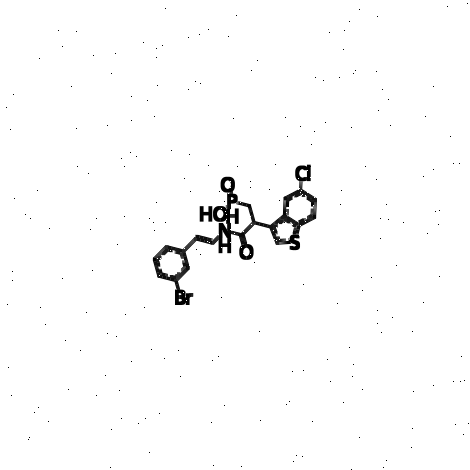 O=C(N/C=C/c1cccc(Br)c1)C(C[PH](=O)O)c1csc2ccc(Cl)cc12